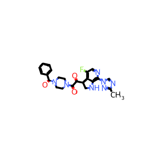 Cc1ncn(-c2ncc(F)c3c2NCC3C(=O)C(=O)N2CCN(C(=O)c3ccccc3)CC2)n1